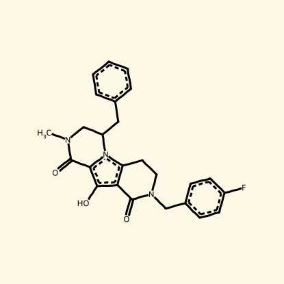 CN1CC(Cc2ccccc2)n2c3c(c(O)c2C1=O)C(=O)N(Cc1ccc(F)cc1)CC3